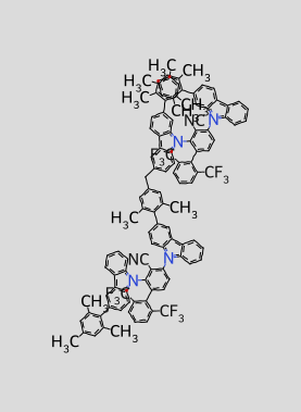 Cc1cc(C)c(-c2ccc3c(c2)c2ccccc2n3-c2c(-c3c(C(F)(F)F)cccc3C(F)(F)F)ccc(-n3c4ccccc4c4cc(-c5c(C)cc(Cc6ccc7c(c6)c6ccc(-c8c(C)cc(C)cc8C)cc6n7-c6c(-c7c(C(F)(F)F)cccc7C(F)(F)F)ccc(-n7c8ccccc8c8ccc(-c9c(C)cc(C)cc9C)cc87)c6C#N)cc5C)ccc43)c2C#N)c(C)c1